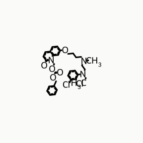 CCN(CCN(C)CCCCOc1ccc2ccc(=O)n(COC(=O)OCc3ccccc3)c2c1)c1cccc(Cl)c1Cl